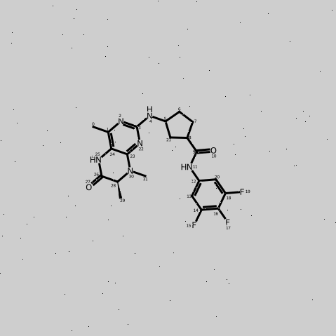 Cc1nc(NC2CCC(C(=O)Nc3cc(F)c(F)c(F)c3)C2)nc2c1NC(=O)[C@H](C)N2C